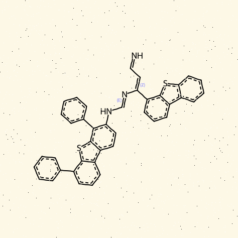 N=C/C=C(\N=C\Nc1ccc2c(sc3c(-c4ccccc4)cccc32)c1-c1ccccc1)c1cccc2c1sc1ccccc12